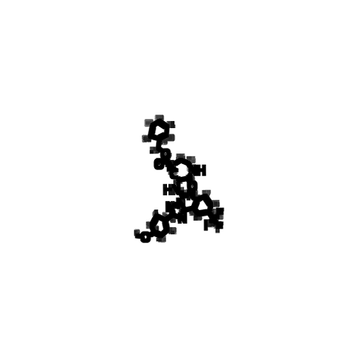 COc1ccc(-c2nc3c4cc(C(F)(F)F)ccc4nc(N[C@@H]4CN(C(=O)OCc5ccccc5)CCNC4=O)n3n2)cc1